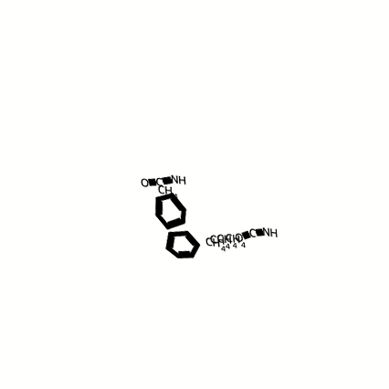 C.C.C.C.C.N=C=O.N=C=O.c1ccccc1.c1ccccc1